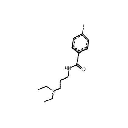 CCN(CC)CCCNC(=O)c1ccc(I)cc1